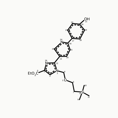 CCOC(=O)c1cn(COCC[Si](C)(C)C)c(-c2ccc(-c3ccc(O)cc3)nc2)n1